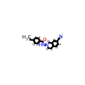 CCc1ccc(C(=O)NN2CCc3ccc(C#N)cc3C2)cc1